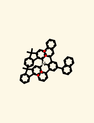 CC1(C)c2ccccc2-c2ccc(N(c3cccc4c3-c3ccccc3C4(C)C)c3c(-c4ccccc4)cc(-c4cccc5ccccc45)cc3-c3ccc4ccccc4c3)cc21